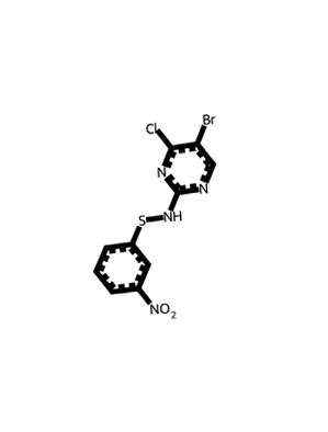 O=[N+]([O-])c1cccc(SNc2ncc(Br)c(Cl)n2)c1